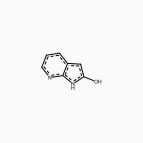 Oc1cc2cccnc2[nH]1